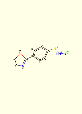 ClNSc1ccc(C2=NCCO2)cc1